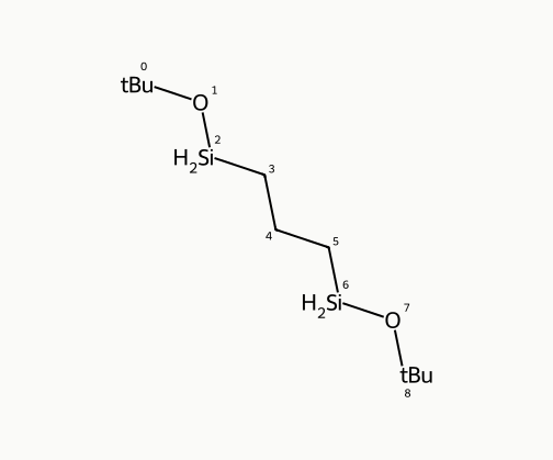 CC(C)(C)O[SiH2]CCC[SiH2]OC(C)(C)C